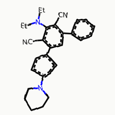 CCN(CC)c1c(C#N)c(-c2ccccc2)cc(-c2ccc(N3CCCCC3)cc2)c1C#N